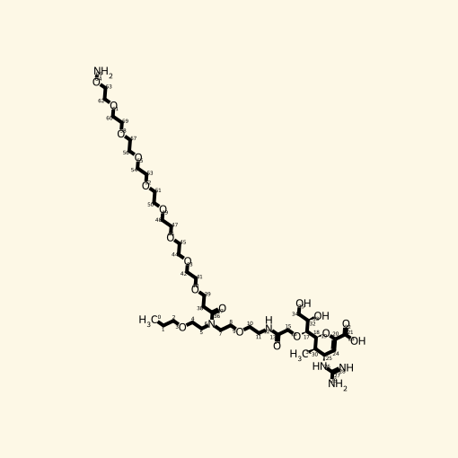 CCCOCCN(CCOCCNC(=O)CO[C@@H]([C@@H]1OC(C(=O)O)=C[C@H](NC(=N)N)[C@H]1C)[C@H](O)CO)C(=O)CCOCCOCCOCCOCCOCCOCCOCCOCCON